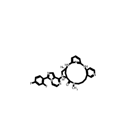 CN1CCCc2cnccc2Nc2cccc(n2)N[C@H]2C[C@@H](C1=O)N(c1nccn3c(-c4ccc(F)cc4F)ncc13)C2